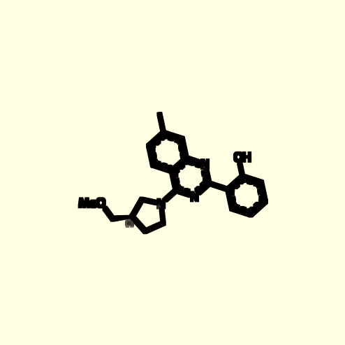 COC[C@@H]1CCN(c2nc(-c3ccccc3O)nc3cc(C)ccc23)C1